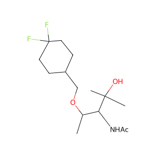 CC(=O)NC(C(C)OCC1CCC(F)(F)CC1)C(C)(C)O